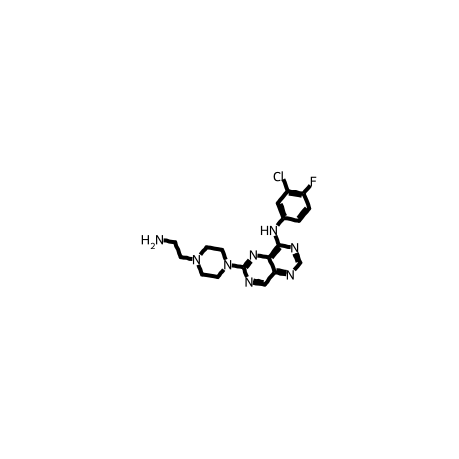 NCCN1CCN(c2ncc3ncnc(Nc4ccc(F)c(Cl)c4)c3n2)CC1